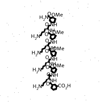 COc1ccc(NC(=O)[C@H](CCCCN)NC(=O)c2cc(NC(=O)[C@H](CCCCN)NC(=O)c3cc(NC(=O)[C@H](CCCCN)NC(=O)c4cc(NC(=O)[C@H](CCCCN)NC(=O)c5cccc(C(=O)O)c5)ccc4OC)ccc3OC)ccc2OC)cc1C(N)=O